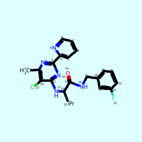 Cc1nc(-c2ccccn2)nc(NC(C(=O)NCc2cccc(F)c2)C(C)C)c1Cl